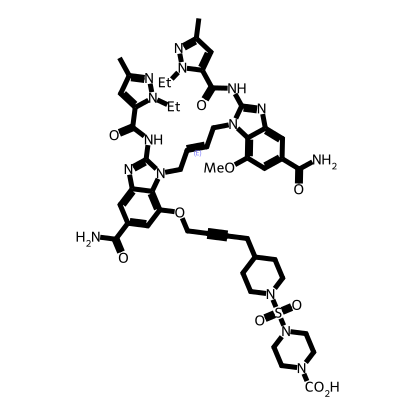 CCn1nc(C)cc1C(=O)Nc1nc2cc(C(N)=O)cc(OC)c2n1C/C=C/Cn1c(NC(=O)c2cc(C)nn2CC)nc2cc(C(N)=O)cc(OCC#CCC3CCN(S(=O)(=O)N4CCN(C(=O)O)CC4)CC3)c21